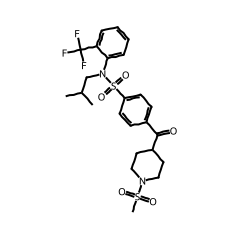 CC(C)CN(c1ccccc1C(F)(F)F)S(=O)(=O)c1ccc(C(=O)C2CCN(S(C)(=O)=O)CC2)cc1